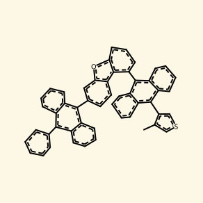 Cc1cscc1-c1c2ccccc2c(-c2cccc3oc4cc(-c5c6ccccc6c(-c6ccccc6)c6ccccc56)ccc4c23)c2ccccc12